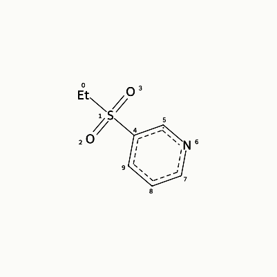 CCS(=O)(=O)c1[c]nccc1